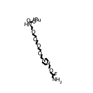 CC(C)(C)OC(=O)NCCOCCOCCOCCOCCN1CCN(CCOCC(F)CN)CC1